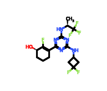 C[C@@H](Nc1nc(NC2CC(F)(F)C2)nc(C2=C(F)[C@@H](O)CCC2)n1)C(F)(F)F